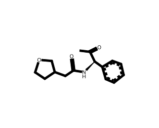 CC(=O)[C@H](NC(=O)CC1CCOC1)c1ccccc1